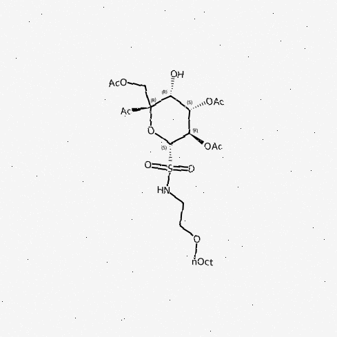 CCCCCCCCOCCNS(=O)(=O)[C@@H]1O[C@@](COC(C)=O)(C(C)=O)[C@H](O)[C@H](OC(C)=O)[C@H]1OC(C)=O